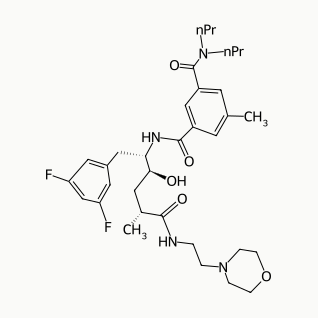 CCCN(CCC)C(=O)c1cc(C)cc(C(=O)N[C@@H](Cc2cc(F)cc(F)c2)[C@@H](O)C[C@@H](C)C(=O)NCCN2CCOCC2)c1